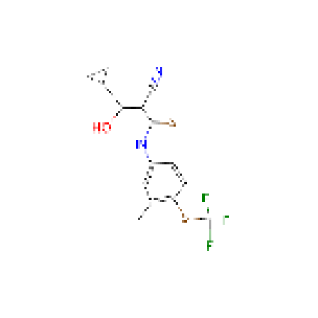 Cc1cc(NC(=S)C(C#N)=C(O)C2CC2)ccc1SC(F)(F)F